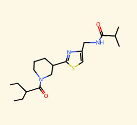 CCC(CC)C(=O)N1CCCC(c2nc(CNC(=O)C(C)C)cs2)C1